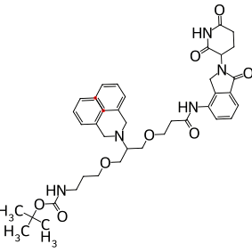 CC(C)(C)OC(=O)NCCCOCC(COCCC(=O)Nc1cccc2c1CN(C1CCC(=O)NC1=O)C2=O)N(Cc1ccccc1)Cc1ccccc1